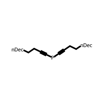 CCCCCCCCCCCCC#C[P]C#CCCCCCCCCCCCC